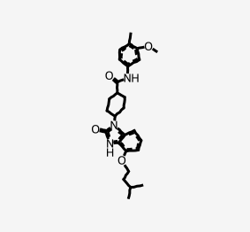 COc1cc(NC(=O)C2CCC(n3c(=O)[nH]c4c(OCCC(C)C)cccc43)CC2)ccc1C